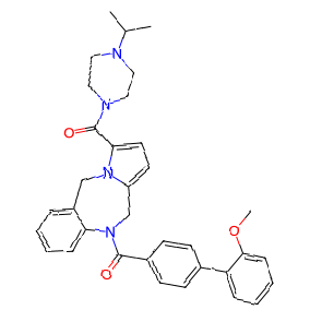 COc1ccccc1-c1ccc(C(=O)N2Cc3ccc(C(=O)N4CCN(C(C)C)CC4)n3Cc3ccccc32)cc1